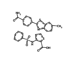 Cc1ccc2nc(-c3ccc(C(N)=O)cc3)sc2c1.O=C(O)c1sccc1NS(=O)(=O)c1ccccc1